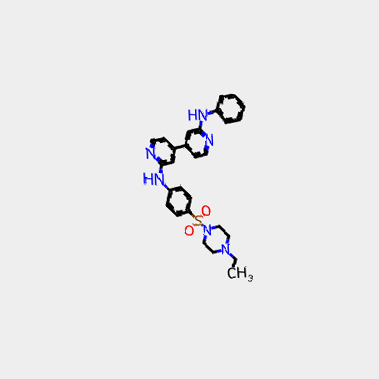 CCN1CCN(S(=O)(=O)c2ccc(Nc3cc(-c4ccnc(Nc5ccccc5)c4)ccn3)cc2)CC1